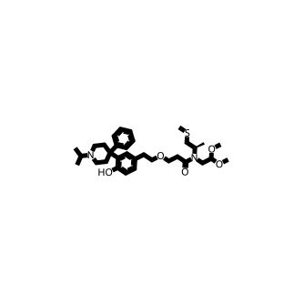 COC(CN(C(=O)CCOCCc1ccc(O)c(C2(c3ccccc3)CCN(C(C)C)CC2)c1)[C@H](C)CSC)OC